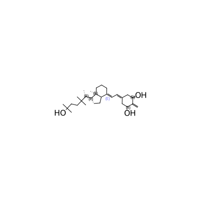 C=C1[C@H](O)CC(=C/C=C2\CCC[C@@]3(C)C2CC[C@@H]3[C@@H](C)C(C)(C)CCC(C)(C)O)C[C@H]1O